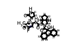 CS(=O)(=O)/C(F)=C\[C@H](C[C@@H]1CCNC1=O)NC(=O)[C@@H]1[C@H]2CCC[C@H]2CN1C(=O)C1(O)c2ccccc2-c2ccccc21